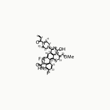 C=CC(=O)N1[C@H](C)CN(C2=NC(O)N3c4c2cc(C(F)(F)F)c(-c2ccc(F)c5[nH]c(=O)[nH]c25)c4SC[C@@H]3COC)C[C@@H]1C